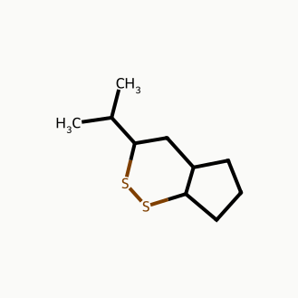 CC(C)C1CC2CCCC2SS1